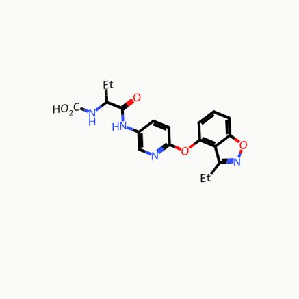 CCc1noc2cccc(Oc3ccc(NC(=O)C(CC)NC(=O)O)cn3)c12